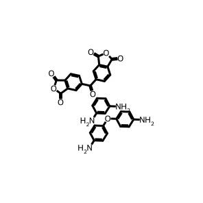 Nc1ccc(Oc2ccc(N)cc2)cc1.Nc1cccc(N)c1.O=C(c1ccc2c(c1)C(=O)OC2=O)c1ccc2c(c1)C(=O)OC2=O